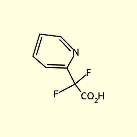 O=C(O)C(F)(F)c1ccccn1